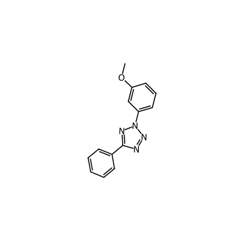 COc1cccc(-n2nnc(-c3ccccc3)n2)c1